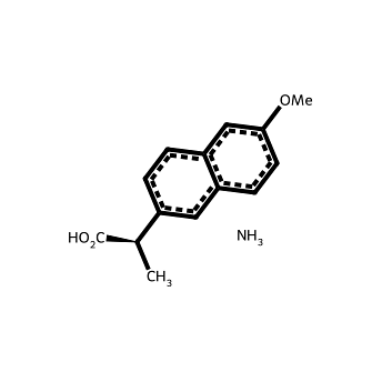 COc1ccc2cc([C@@H](C)C(=O)O)ccc2c1.N